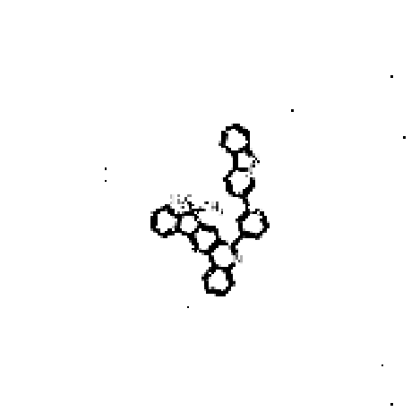 CC1(C)c2ccccc2-c2cc3c(cc21)c(-c1cccc(-c2ccc4c5ccccc5nn4c2)c1)nc1ccccc13